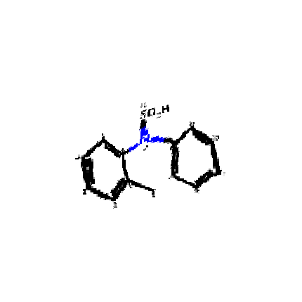 Cc1ccccc1N(c1ccccc1)S(=O)(=O)O